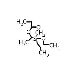 C=CC(=O)OC(C)[Si](C)(CCC)OCC